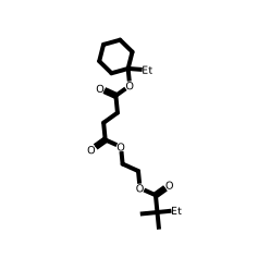 CCC1(OC(=O)CCC(=O)OCCOC(=O)C(C)(C)CC)CCCCC1